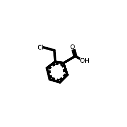 O=C(O)c1ccccc1CCl